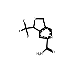 NC(=O)c1cc2c(cn1)COC2C(F)(F)F